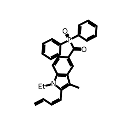 C=C/C=C\c1c(C)c2cc(C(=O)P(=O)(c3ccccc3)c3ccccc3)ccc2n1CC